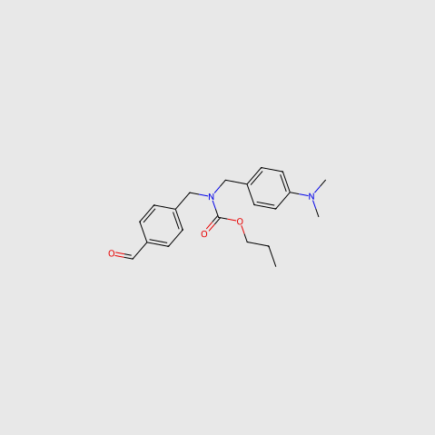 CCCOC(=O)N(Cc1ccc(C=O)cc1)Cc1ccc(N(C)C)cc1